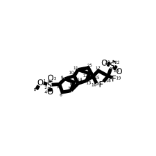 COS(=O)(=O)C1CC2CC1C1C3CC(C21)C(C)(CC(F)(F)S(C)(=O)=O)C3